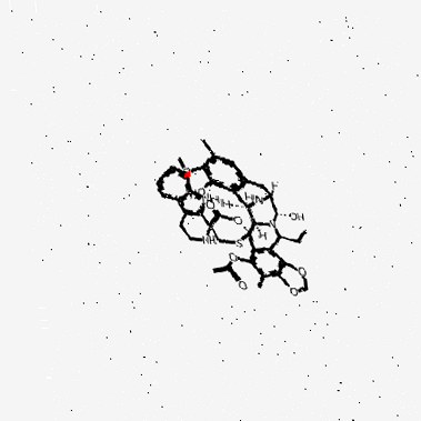 CC[C@H]1c2c3c(c(C)c(OC(C)=O)c2[C@]2(OC(=O)[C@]4(CS2)NCCc2c4[nH]c4ccccc24)[C@H]2[C@@H]4N[C@H](Cc5cc(C)c(OC)c(O)c54)[C@H](O)N12)OCO3